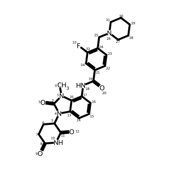 Cn1c(=O)n(C2CCC(=O)NC2=O)c2cccc(NC(=O)c3ccc(CN4CCCCC4)c(F)c3)c21